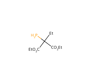 CCOC(=O)C(P)(CC)C(=O)OCC